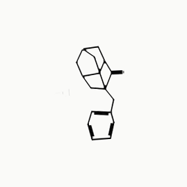 Cl.O=C1C2CC3CC(C2)CC1(Cc1ccccc1)C3